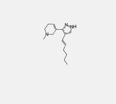 CCCCC=Cc1c[nH]nc1C1=CCCN(C)C1